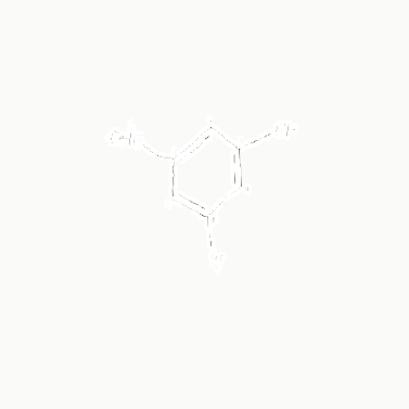 O=[C]c1cc(Cl)cc(Br)c1